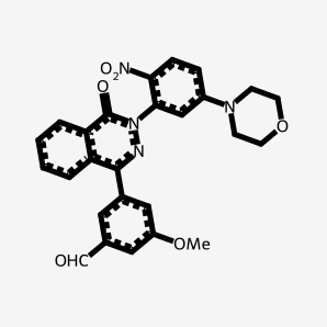 COc1cc(C=O)cc(-c2nn(-c3cc(N4CCOCC4)ccc3[N+](=O)[O-])c(=O)c3ccccc23)c1